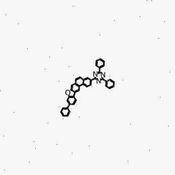 c1ccc(-c2ccc3c(c2)oc2cc4ccc5cc(-c6nc(-c7ccccc7)nc(-c7ccccc7)n6)ccc5c4cc23)cc1